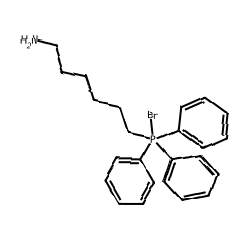 NCCCCCCP(Br)(c1ccccc1)(c1ccccc1)c1ccccc1